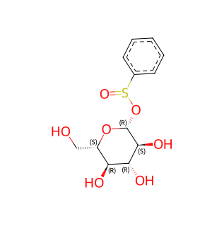 O=S(O[C@H]1O[C@@H](CO)[C@H](O)[C@@H](O)[C@@H]1O)c1ccccc1